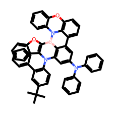 CC(C)(C)c1ccc(N2c3cc(N(c4ccccc4)c4ccccc4)cc4c3B(c3oc5ccccc5c32)N2c3ccccc3Oc3cccc-4c32)c(-c2ccccc2)c1